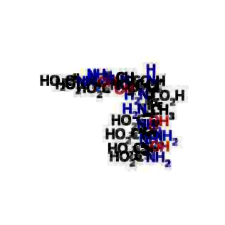 CC(C)C(N)C(=O)O.CC(C)C(N)C(=O)O.CC(O)C(N)C(=O)O.CC(O)C(N)C(=O)O.NC(=O)CC(N)C(=O)O.NC(CO)C(=O)O.NC(CO)C(=O)O.NCC(=O)O.NCC(=O)O.O=C(O)[C@@H]1CCCN1